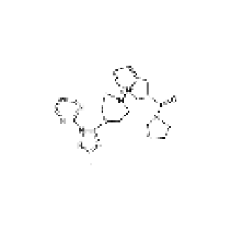 Cc1cc(N2CCN([N@@+]34C=CC=C3C=C(C(=O)N3CCSC3)C4)CC2)n(-c2ncccn2)n1